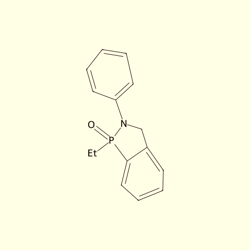 CCP1(=O)c2ccccc2CN1c1ccccc1